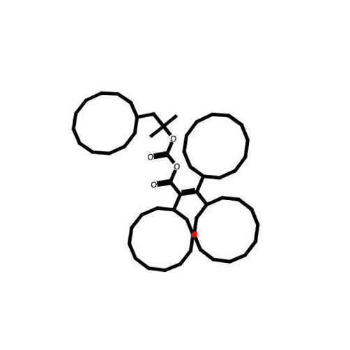 CC(C)(CC1CCCCCCCCCCC1)OC(=O)OC(=O)C(=C(C1CCCCCCCCCCC1)C1CCCCCCCCCCC1)C1CCCCCCCCCCC1